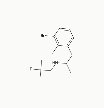 Cc1c(Br)cccc1CC(C)NCC(C)(C)F